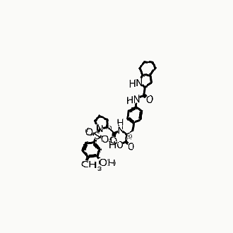 Cc1ccc(S(=O)(=O)N2CCC[C@H]2C(=O)N[C@@H](Cc2ccc(NC(=O)C3CC4CCCCC4N3)cc2)C(=O)O)cc1O